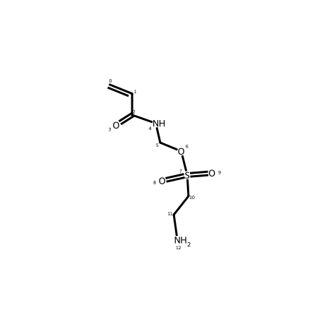 C=CC(=O)NCOS(=O)(=O)CCN